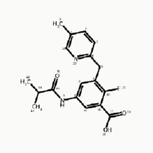 Cc1ccc(Cc2cc(NC(=O)C(C)C)cc(C(=O)O)c2F)nc1